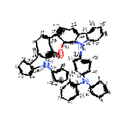 c1ccc(N(c2ccccc2)c2ccc(-n3c4ccccc4c4ccc5c6ccc7c8ccccc8n(-c8ccccc8)c7c6oc5c43)cc2)cc1